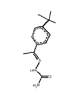 CC(=NNC(N)=O)c1ccc(C(C)(C)C)cc1